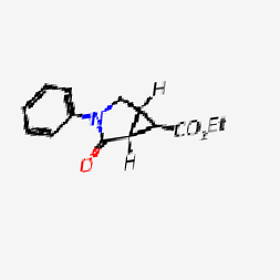 CCOC(=O)[C@@H]1[C@H]2CN(c3ccccc3)C(=O)[C@H]21